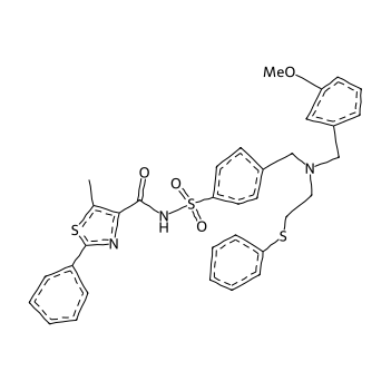 COc1cccc(CN(CCSc2ccccc2)Cc2ccc(S(=O)(=O)NC(=O)c3nc(-c4ccccc4)sc3C)cc2)c1